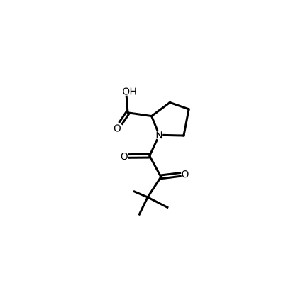 CC(C)(C)C(=O)C(=O)N1CCCC1C(=O)O